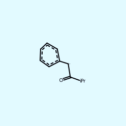 CC(C)C(=O)[CH]c1ccccc1